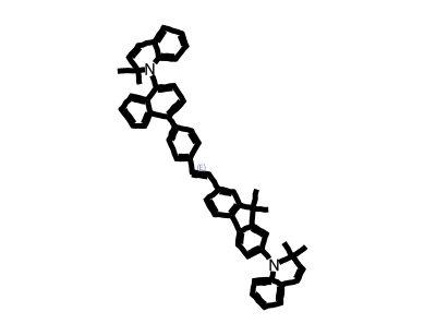 CC1(C)c2cc(/C=C/c3ccc(-c4ccc(N5c6ccccc6C=CC5(C)C)c5ccccc45)cc3)ccc2-c2ccc(N3c4ccccc4C=CC3(C)C)cc21